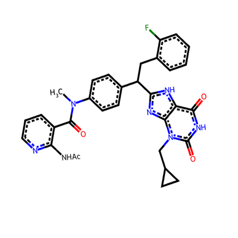 CC(=O)Nc1ncccc1C(=O)N(C)c1ccc(C(Cc2ccccc2F)c2nc3c([nH]2)c(=O)[nH]c(=O)n3CC2CC2)cc1